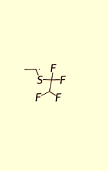 C[CH]SC(F)(F)C(F)F